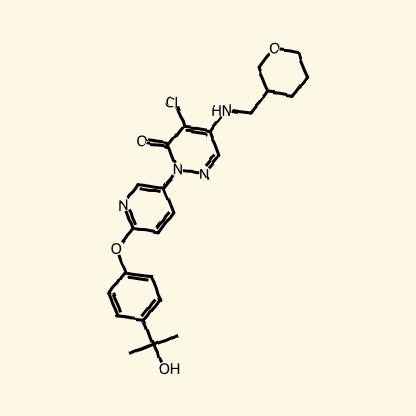 CC(C)(O)c1ccc(Oc2ccc(-n3ncc(NCC4CCCOC4)c(Cl)c3=O)cn2)cc1